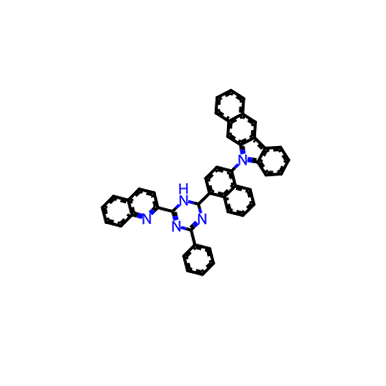 c1ccc(C2=NC(c3ccc(-n4c5ccccc5c5cc6ccccc6cc54)c4ccccc34)NC(c3ccc4ccccc4n3)=N2)cc1